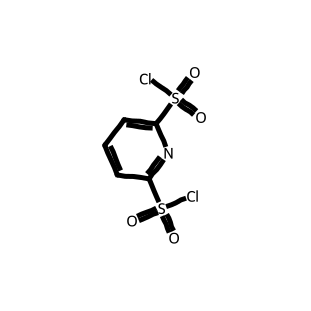 O=S(=O)(Cl)c1cccc(S(=O)(=O)Cl)n1